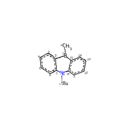 CB1c2ccccc2N(C(C)(C)C)c2ccccc21